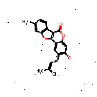 CC(C)=CCc1cc2c(cc1O)oc(=O)c1c3ccc(C)cc3oc21